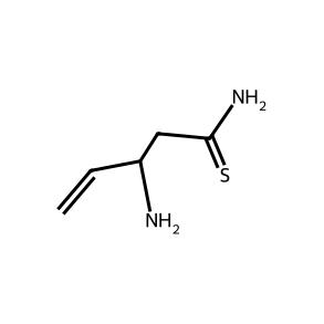 C=CC(N)CC(N)=S